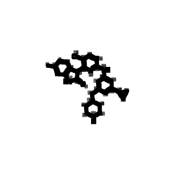 Cc1ccc2c(c1)NC(=O)C2c1nc(Nc2cc(CN3CCNCC3)cc(C3CC3)c2)ncc1Cl